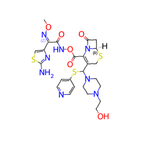 CO/N=C(\C(=O)NOC(=O)C1=C(C(Sc2ccncc2)N2CCN(CCO)CC2)CS[C@@H]2CC(=O)N12)c1csc(N)n1